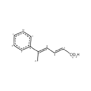 CC(=CC=CC(=O)O)c1ccccc1